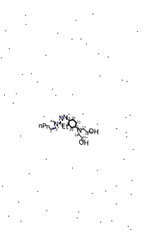 CCC\C=C/[N+](C)=C(CC)/N=N\c1ccc(N(CCO)CCO)cc1